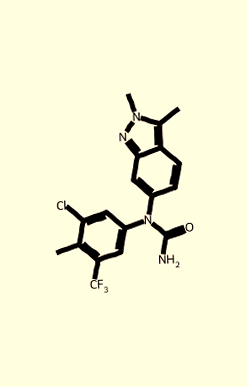 Cc1c(Cl)cc(N(C(N)=O)c2ccc3c(C)n(C)nc3c2)cc1C(F)(F)F